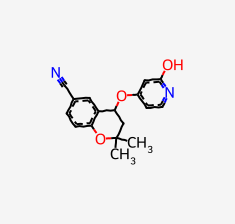 CC1(C)CC(Oc2ccnc(O)c2)c2cc(C#N)ccc2O1